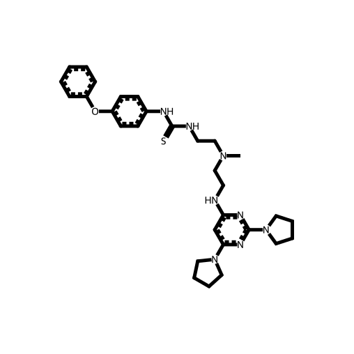 CN(CCNC(=S)Nc1ccc(Oc2ccccc2)cc1)CCNc1cc(N2CCCC2)nc(N2CCCC2)n1